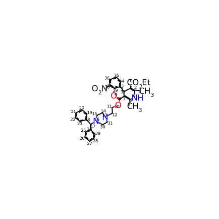 CCOC(=O)C1=C(C)NC(C)=C(C(=O)OCCN2CCN(C(c3ccccc3)c3ccccc3)CC2)C1c1cccc([N+](=O)[O-])c1